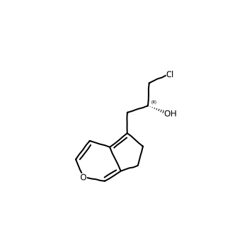 O[C@@H](CCl)CC1=C2C=COC=C2CC1